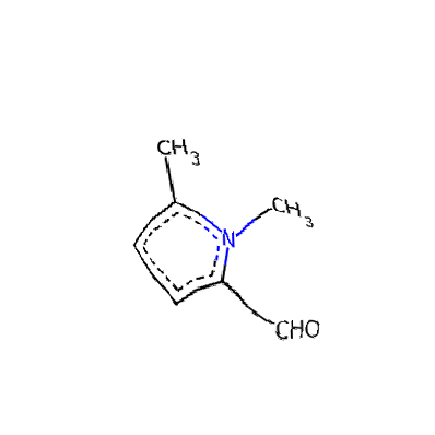 Cc1ccc(C=O)n1C